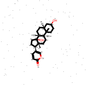 CC12CC[C@H](O)C[C@H]1CC[C@@H]1[C@@H]2CC[C@]2(C)[C@@H](c3ccc(=O)oc3)CC[C@]12O